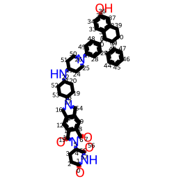 O=C1CCC(N2C(=O)c3cc4c(cc3C2=O)CN(C2CCC(NC3CCN(c5ccc([C@@H]6c7ccc(O)cc7CC[C@@H]6c6ccccc6)cc5)CC3)CC2)C4)C(=O)N1